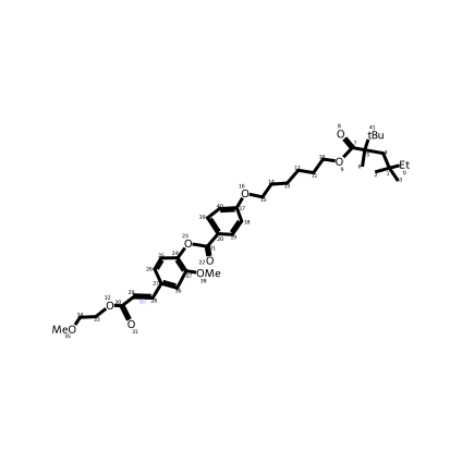 CCC(C)(C)CC(C)(C(=O)OCCCCCCOc1ccc(C(=O)Oc2ccc(/C=C/C(=O)OCCOC)cc2OC)cc1)C(C)(C)C